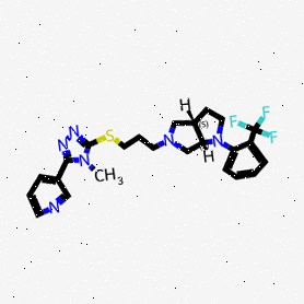 Cn1c(SCCCN2C[C@@H]3CCN(c4ccccc4C(F)(F)F)[C@@H]3C2)nnc1-c1cccnc1